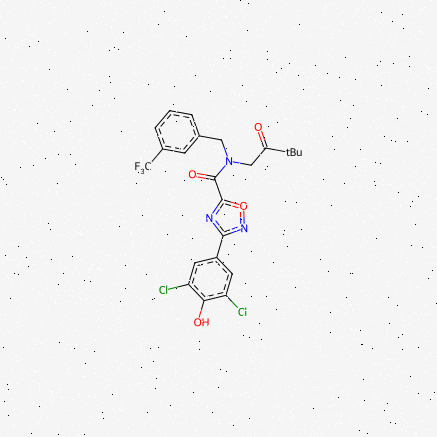 CC(C)(C)C(=O)CN(Cc1cccc(C(F)(F)F)c1)C(=O)c1nc(-c2cc(Cl)c(O)c(Cl)c2)no1